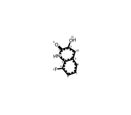 O=c1[nH]c2c(F)cccc2cc1O